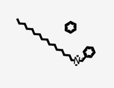 CCCCCCCCCCCCCCCC[N+](C)(C)Cc1ccccc1.c1ccccc1